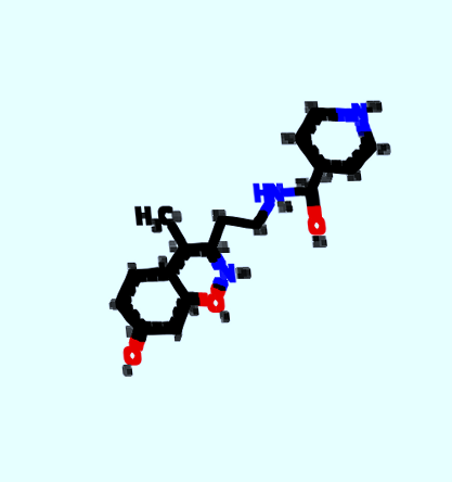 Cc1c2ccc(=O)cc-2onc1CCNC(=O)c1ccncc1